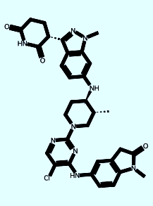 C[C@@H]1CN(c2ncc(Cl)c(Nc3ccc4c(c3)CC(=O)N4C)n2)CC[C@H]1Nc1ccc2c([C@H]3CCC(=O)NC3=O)nn(C)c2c1